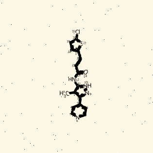 Cc1c(-c2ccncc2)n[nH]c1NC(=O)C=Cc1ccc(Cl)s1